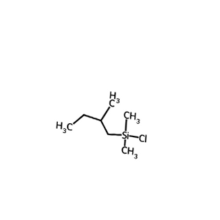 CCC(C)C[Si](C)(C)Cl